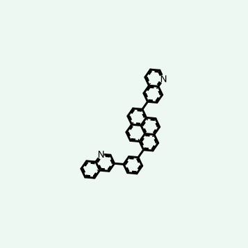 c1cc(-c2cnc3ccccc3c2)cc(-c2ccc3ccc4c(-c5ccc6ncccc6c5)ccc5ccc2c3c54)c1